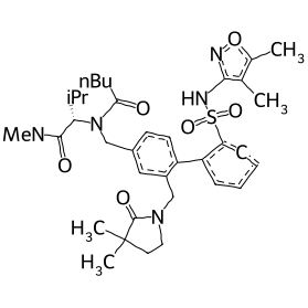 CCCCC(=O)N(Cc1ccc(-c2ccccc2S(=O)(=O)Nc2noc(C)c2C)c(CN2CCC(C)(C)C2=O)c1)[C@H](C(=O)NC)C(C)C